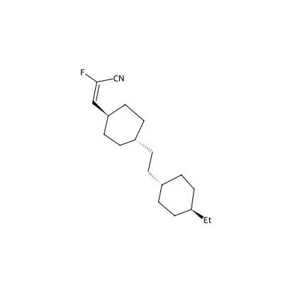 CC[C@H]1CC[C@H](CC[C@H]2CC[C@H](/C=C(/F)C#N)CC2)CC1